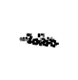 CC(C)C[C@H](Nc1ccc(S(=O)(=O)c2ccc(N3CCN(C)CC3)c([N+](=O)[O-])c2O)cc1)C(=O)O.Cl